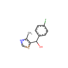 Cc1ncsc1C(O)c1ccc(F)cc1